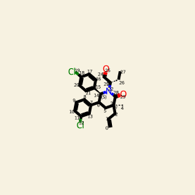 C=CC[C@@]1(C)CC(c2cccc(Cl)c2)[C@@H](c2ccc(Cl)cc2)N([C@H](C=O)CC)C1=O